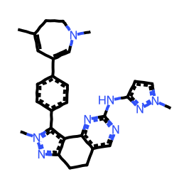 CC1=CC(c2ccc(-c3c4c(nn3C)CCc3cnc(Nc5ccn(C)n5)nc3-4)cc2)=CN(C)CC1